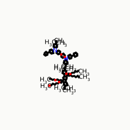 CCCCCCCCC1(CCCCCCCC)c2cc(C(C)(C)C)ccc2-c2cc3c(cc21)-c1ccc(C(C)(C)C(C)(C)c2ccc(N(c4ccc(-c5ccccc5)cc4)c4ccc(-c5ccc(N(c6ccc(-c7ccccc7)cc6)c6ccc(C(C)(C)C)cc6)cc5)cc4)cc2)cc1C3(CCCCCCCC)CCCCCCCC